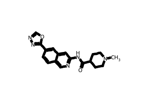 CN1CCC(C(=O)Nc2cc3cc(-c4nnco4)ccc3cn2)CC1